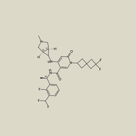 C[C@@H](NC(=O)c1cn(C2CC3(C2)CC(F)(F)C3)c(=O)cc1NC1[C@H]2CN(C)C[C@@H]12)c1cccc(C(F)F)c1F